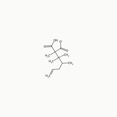 C=CCC(C)[N+](C)(C)C(C)(C(=O)[O-])C(=O)O